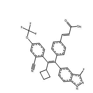 N#Cc1cc(OC(F)(F)F)ccc1/C(=C(\c1ccc(/C=C/C(=O)O)cc1)c1ccc2[nH]nc(F)c2c1)C1CCC1